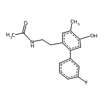 CC(=O)NCCc1cc(C)c(O)cc1-c1cccc(F)c1